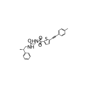 Cc1ccc(C#Cc2ccc(S(=O)(=O)NCC(=O)NC[C@H](C)c3ccccc3)s2)cc1